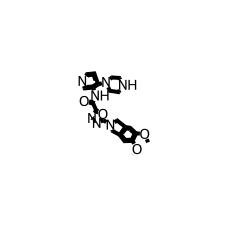 COc1cc2c(cc1OC)CN(c1nnc(C(=O)Nc3cnccc3N3CCNCC3)o1)C2